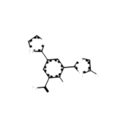 Cc1coc(-c2cc(-c3ncco3)cc(C(N)=O)c2C)n1